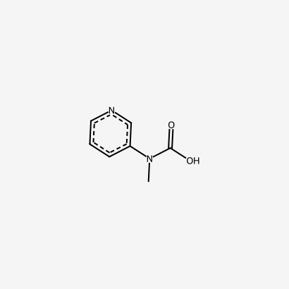 CN(C(=O)O)c1cccnc1